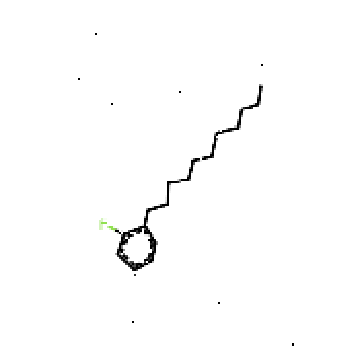 CCCCCCCCCCCc1cc[c]cc1F